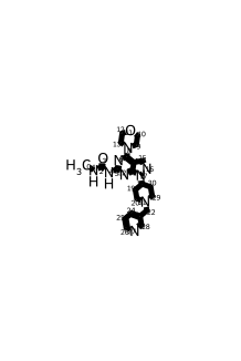 CNC(=O)Nc1nc(N2CCOCC2)c2cnn(C3CCN(Cc4cccnc4)CC3)c2n1